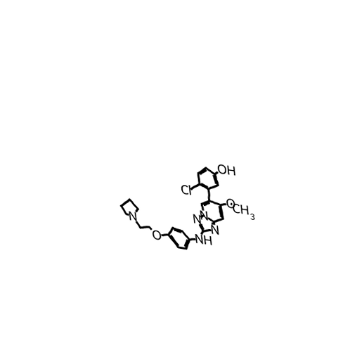 COc1cc2nc(Nc3ccc(OCCN4CCCC4)cc3)nn2cc1-c1cc(O)ccc1Cl